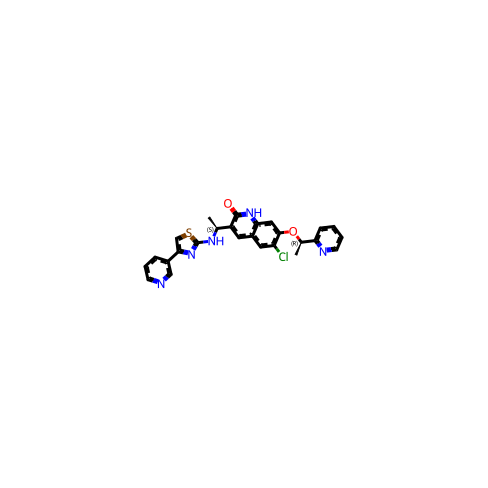 C[C@H](Nc1nc(-c2cccnc2)cs1)c1cc2cc(Cl)c(O[C@H](C)c3ccccn3)cc2[nH]c1=O